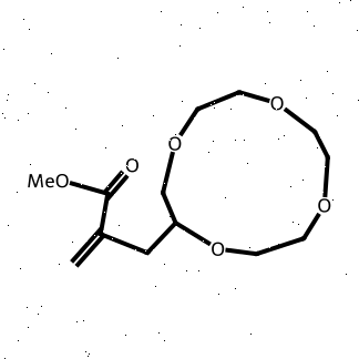 C=C(CC1COCCOCCOCCO1)C(=O)OC